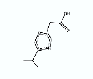 CC(C)c1ccc(CC(=O)O)cn1